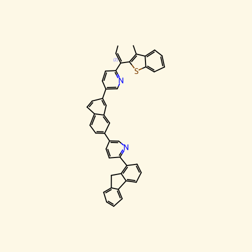 C/C=C(/c1ccc(-c2ccc3ccc(-c4ccc(-c5cccc6c5Cc5ccccc5-6)nc4)cc3c2)cn1)c1sc2ccccc2c1C